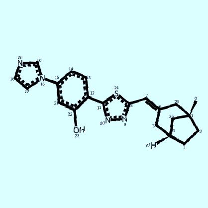 C[C@]12CC[C@H](C/C(=C\c3nnc(-c4ccc(-n5ccnc5)cc4O)s3)C1)C2